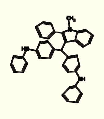 Cn1c(-c2ccccc2)c(C(c2ccc(Nc3ccccc3)cc2)c2ccc(Nc3ccccc3)cc2)c2ccccc21